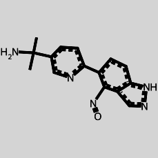 CC(C)(N)c1ccc(-c2ccc3[nH]ncc3c2N=O)nc1